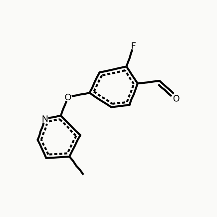 Cc1ccnc(Oc2ccc(C=O)c(F)c2)c1